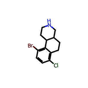 Clc1ccc(Br)c2c1CCC1CNCCC21